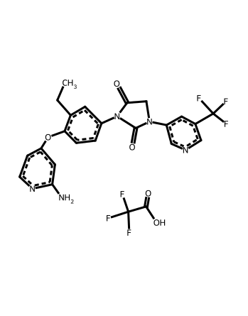 CCc1cc(N2C(=O)CN(c3cncc(C(F)(F)F)c3)C2=O)ccc1Oc1ccnc(N)c1.O=C(O)C(F)(F)F